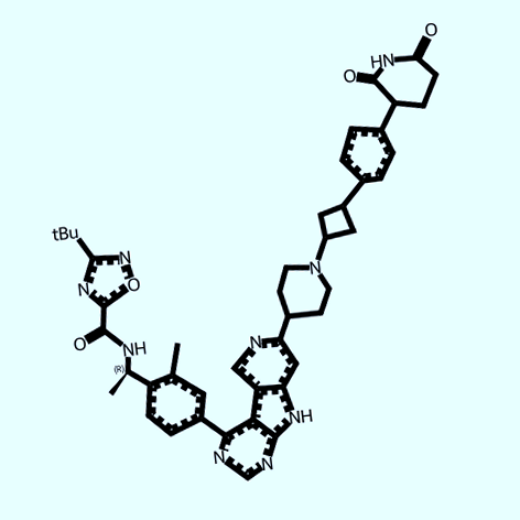 Cc1cc(-c2ncnc3[nH]c4cc(C5CCN(C6CC(c7ccc(C8CCC(=O)NC8=O)cc7)C6)CC5)ncc4c23)ccc1[C@@H](C)NC(=O)c1nc(C(C)(C)C)no1